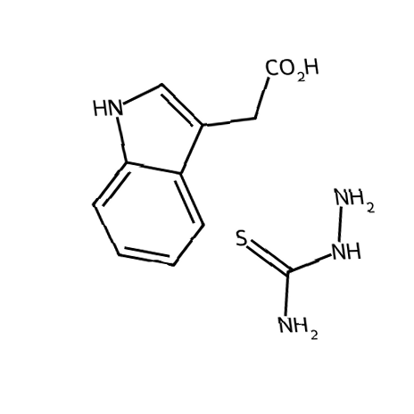 NNC(N)=S.O=C(O)Cc1c[nH]c2ccccc12